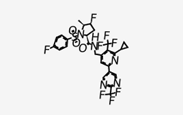 C[C@H]1[C@H](F)C[C@@H](C(=O)NCc2cc(-c3cnc(C(F)(F)F)nc3)nc(C3CC3)c2C(F)(F)F)N1S(=O)(=O)c1ccc(F)cc1